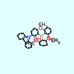 COc1cccc(OC)c1P(c1cccc(-n2c3ccccc3c3ccccc32)c1O)c1c(OC)cccc1OC